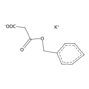 O=C([O-])CC(=O)OCc1ccccc1.[K+]